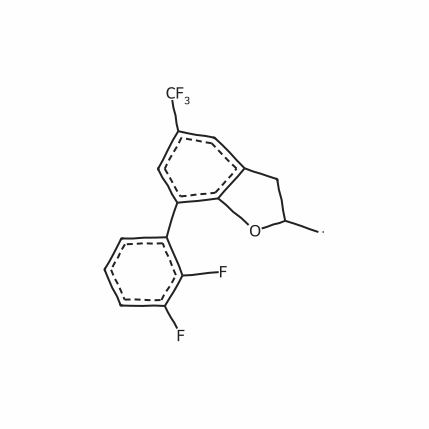 [CH2]C1Cc2cc(C(F)(F)F)cc(-c3cccc(F)c3F)c2O1